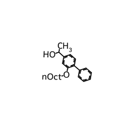 CCCCCCCCOc1cc(C(C)O)ccc1-c1ccccc1